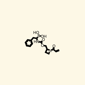 C=CC(=O)N1CCC1COC(=O)NC(Cc1ccccc1)B(O)O